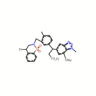 CCOC(=O)CC(c1ccc(C)c(CN2CC(CC)c3ccccc3S2(=O)=O)c1)c1cc(OC)c2c(c1)nnn2C